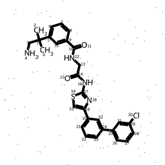 CC(C)(CN)c1cccc(C(=O)NCC(=O)Nc2nc(-c3cccc(-c4cccc(Cl)c4)c3)cs2)c1